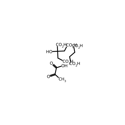 CC(=O)C(=O)O.O=C(O)CC(O)(CC(=O)O)C(=O)O.O=C(O)CCC(=O)O